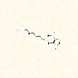 Cn1cnc2c1c(=O)n(CCCCC(=O)CO)c(=O)n2C